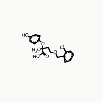 CC(CCOCc1ccccc1Cl)(Oc1ccc(O)cc1)C(=O)O